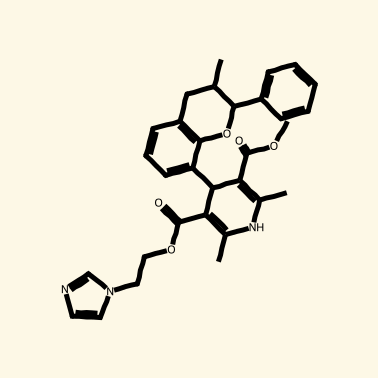 COC(=O)C1=C(C)NC(C)=C(C(=O)OCCn2ccnc2)C1c1cccc2c1OC(c1ccccc1)C(C)C2